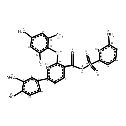 COc1cc(-c2ccc(C(=O)NS(=O)(=O)c3cccc(N)n3)c(Oc3c(C)cc(C)cc3C)n2)ccc1C#N